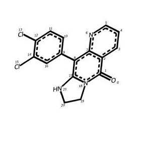 O=c1c2cccnc2c(-c2ccc(Cl)c(Cl)c2)c2n1CCN2